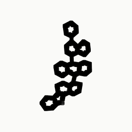 c1ccc(-c2ccc(-c3c4ccccc4c(-c4cccc5c4ccc4c6ccccc6sc54)c4ccccc34)c3ccccc23)cc1